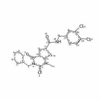 Cn1c(=O)n(Cc2ccccc2)c(=O)c2cc(C(=O)NCc3ccc(Cl)c(Cl)c3)sc21